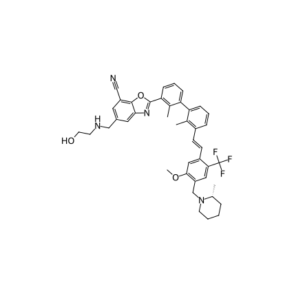 COc1cc(/C=C/c2cccc(-c3cccc(-c4nc5cc(CNCCO)cc(C#N)c5o4)c3C)c2C)c(C(F)(F)F)cc1CN1CCCC[C@H]1C